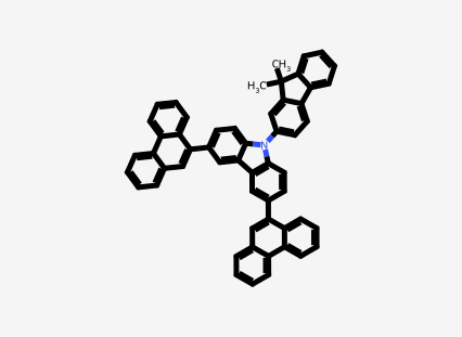 CC1(C)c2ccccc2-c2ccc(-n3c4ccc(-c5cc6ccccc6c6ccccc56)cc4c4cc(-c5cc6ccccc6c6ccccc56)ccc43)cc21